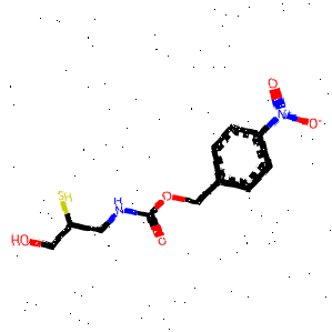 O=C(NCC(S)CO)OCc1ccc([N+](=O)[O-])cc1